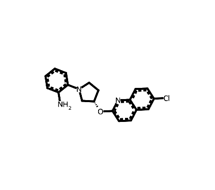 Nc1ccccc1N1CC[C@H](Oc2ccc3cc(Cl)ccc3n2)C1